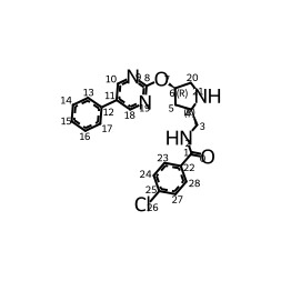 O=C(NC[C@H]1C[C@@H](Oc2ncc(-c3ccccc3)cn2)CN1)c1ccc(Cl)cc1